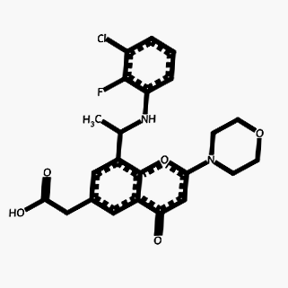 CC(Nc1cccc(Cl)c1F)c1cc(CC(=O)O)cc2c(=O)cc(N3CCOCC3)oc12